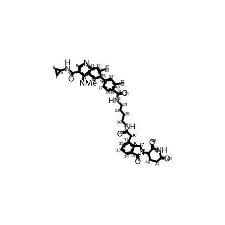 CNc1c(C(=O)NC2CC2)cnc2cc(F)c(-c3ccc(C(=O)NCCCCNC(=O)Cc4cccc5c4CN(C4CCC(=O)NC4=O)C5=O)c(F)c3)cc12